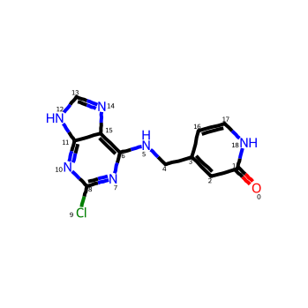 O=c1cc(CNc2nc(Cl)nc3[nH]cnc23)cc[nH]1